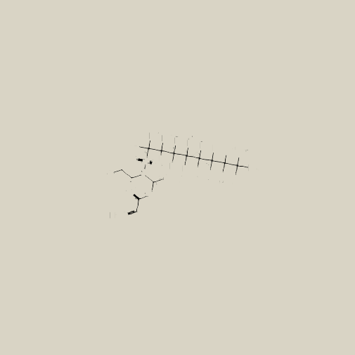 C=CC(=O)OC(C)N(CCC)S(=O)(=O)C(F)(F)C(F)(F)C(F)(F)C(F)(F)C(F)(F)C(F)(F)C(F)(F)C(F)(F)F